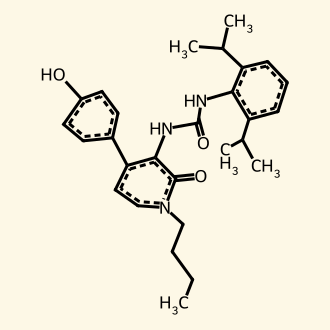 CCCCn1ccc(-c2ccc(O)cc2)c(NC(=O)Nc2c(C(C)C)cccc2C(C)C)c1=O